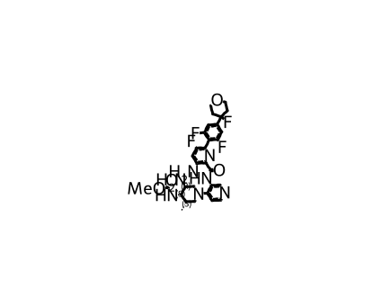 COC(=O)N[C@@H]1[C@H](N)CN(c2ccncc2NC(=O)c2nc(-c3c(F)cc(C4(F)CCOCC4)cc3F)c(F)cc2N)C[C@@H]1C